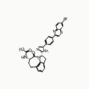 O=C(O)N[C@H]1CCc2cccc3c2N(C1=O)[C@H](c1ncc(-c2ccc(-c4cnc5cc(Br)ccc5n4)cc2)[nH]1)C3